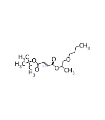 CCCCOCC(C)OC(=O)/C=C/C(=O)OC(C)(C)C